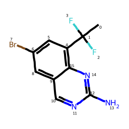 CC(F)(F)c1cc(Br)cc2cnc(N)nc12